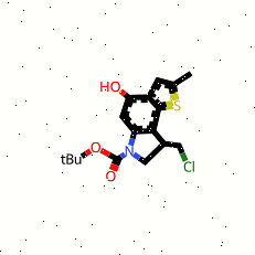 Cc1cc2c(O)cc3c(c2s1)C(CCl)CN3C(=O)OC(C)(C)C